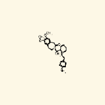 COc1cc2c(cc1OC)CC(=O)N(C(C)C1CCCCN1CCc1ccc(N)cc1)CC2